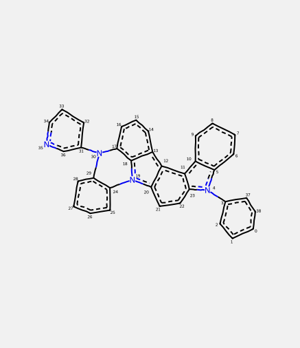 c1ccc(-n2c3ccccc3c3c4c5cccc6c5n(c4ccc32)-c2ccccc2N6c2cccnc2)cc1